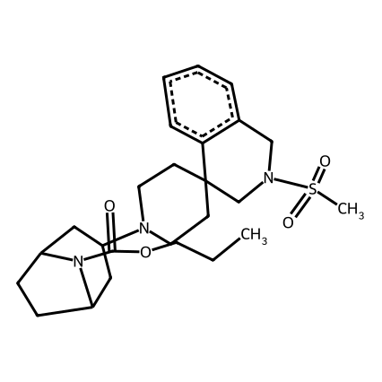 CCCOC(=O)N1C2CCC1CC(N1CCC3(CC1)CN(S(C)(=O)=O)Cc1ccccc13)C2